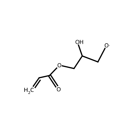 C=CC(=O)OCC(O)C[O]